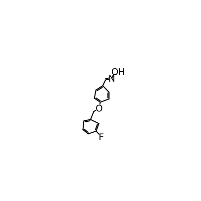 ON=Cc1ccc(OCc2cccc(F)c2)cc1